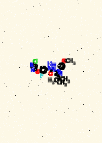 COc1ccc(-n2nc(C(C)(C)C)cc2NC(=O)Nc2ccc(Oc3cc(Cl)ncn3)c(F)c2)cc1